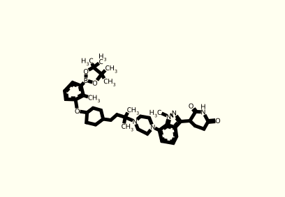 Cc1c(OC2CCC(CCC(C)(C)N3CCN(c4cccc5c(C6CCC(=O)NC6=O)nn(C)c45)CC3)CC2)cccc1B1OC(C)(C)C(C)(C)O1